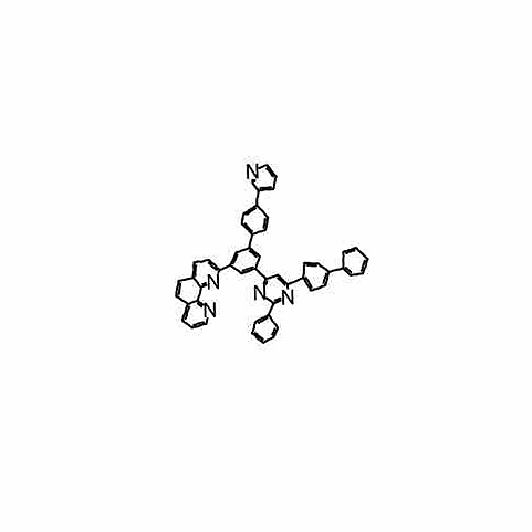 c1ccc(-c2ccc(-c3cc(-c4cc(-c5ccc(-c6cccnc6)cc5)cc(-c5ccc6ccc7cccnc7c6n5)c4)nc(-c4ccccc4)n3)cc2)cc1